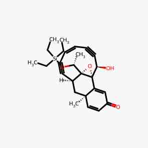 CC[Si](CC)(CC)O[C@H](C)[C@@]12O[C@]13C1=CC(=O)C=C[C@@]1(C)C[C@H]2C#C/C=C\C#C[C@H]3O